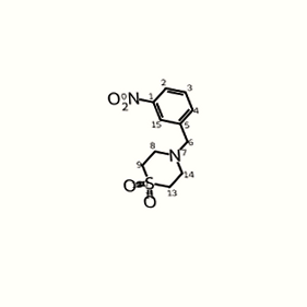 O=[N+]([O-])c1cccc(CN2CCS(=O)(=O)CC2)c1